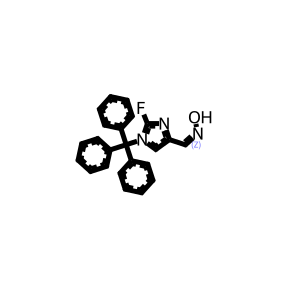 O/N=C\c1cn(C(c2ccccc2)(c2ccccc2)c2ccccc2)c(F)n1